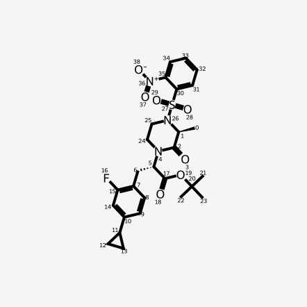 C[C@H]1C(=O)N([C@@H](Cc2ccc(C3CC3)cc2F)C(=O)OC(C)(C)C)CCN1S(=O)(=O)c1ccccc1[N+](=O)[O-]